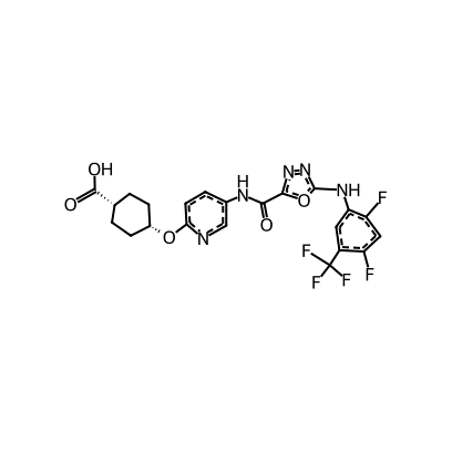 O=C(Nc1ccc(O[C@H]2CC[C@@H](C(=O)O)CC2)nc1)c1nnc(Nc2cc(C(F)(F)F)c(F)cc2F)o1